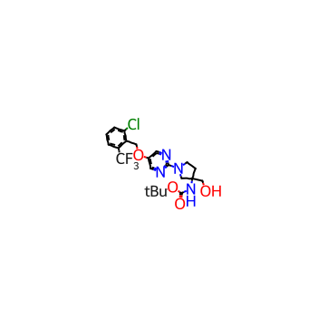 CC(C)(C)OC(=O)NC1(CO)CCN(c2ncc(OCc3c(Cl)cccc3C(F)(F)F)cn2)C1